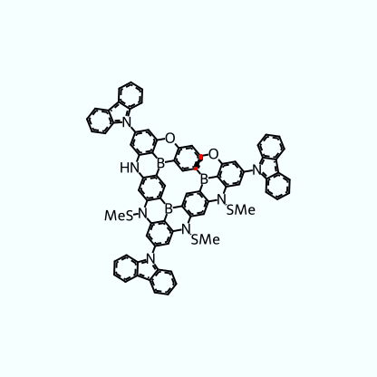 CSN1c2cc3c(cc2B2c4ccccc4Oc4cc(-n5c6ccccc6c6ccccc65)cc1c42)B1c2cc4c(cc2N(SC)c2cc(-n5c6ccccc6c6ccccc65)cc(c21)N3SC)Nc1cc(-n2c3ccccc3c3ccccc32)cc2c1B4c1ccccc1O2